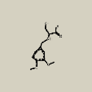 COc1ccc(CNC(CS)C(=O)O)cc1OC